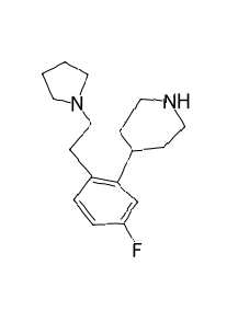 Fc1ccc(CCN2CCCC2)c(C2CCNCC2)c1